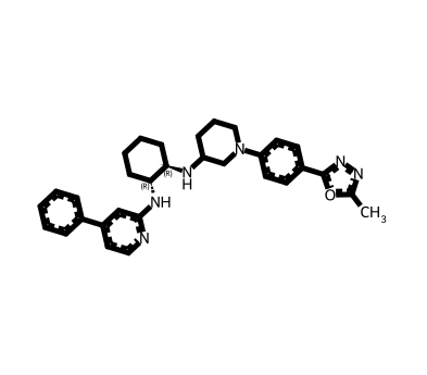 Cc1nnc(-c2ccc(N3CCCC(N[C@@H]4CCCC[C@H]4Nc4cc(-c5ccccc5)ccn4)C3)cc2)o1